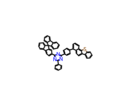 c1ccc(-c2nc(-c3ccc(-c4cccc5c4ccc4c6ccccc6sc54)cc3)nc(-c3ccc4c(c3)C3(c5ccccc5-c5ccccc53)c3ccccc3-4)n2)cc1